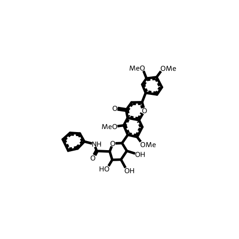 COc1ccc(-c2cc(=O)c3c(OC)c(C4OC(C(=O)Nc5ccccc5)C(O)C(O)C4O)c(OC)cc3o2)cc1OC